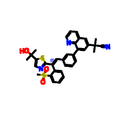 CC(C)(O)c1cnc(/C(=C/c2cccc(-c3cc(C(C)(C)C#N)cc4cccnc34)c2)c2ccccc2S(C)(=O)=O)s1